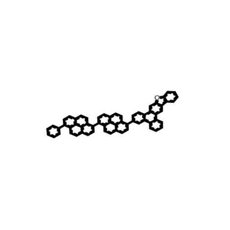 c1ccc(-c2ccc3ccc4c(-c5ccc6ccc7c(-c8ccc9c(c8)c8ccccc8c8cc%10c(cc98)oc8ccccc8%10)ccc8ccc5c6c87)ccc5ccc2c3c54)cc1